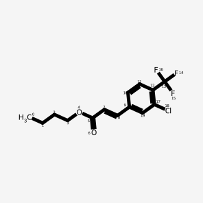 CCCCOC(=O)C=Cc1ccc(C(F)(F)F)c(Cl)c1